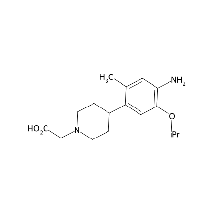 Cc1cc(N)c(OC(C)C)cc1C1CCN(CC(=O)O)CC1